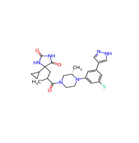 CC(CC1(C2CC2)NC(=O)NC1=O)C(=O)N1CCN(c2cc(F)cc(-c3cn[nH]c3)c2)[C@@H](C)C1